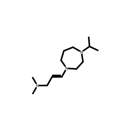 CC(C)N1CCCN(/C=C/CN(C)C)CC1